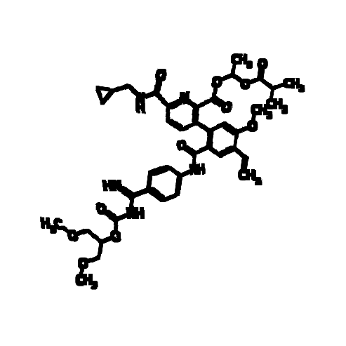 C=Cc1cc(C(=O)Nc2ccc(C(=N)NC(=O)OC(COC)COC)cc2)c(-c2ccc(C(=O)NCC3CC3)nc2C(=O)OC(C)OC(=O)C(C)C)cc1OC